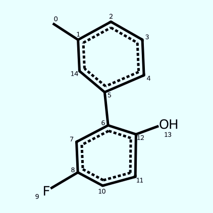 Cc1cccc(-c2cc(F)ccc2O)c1